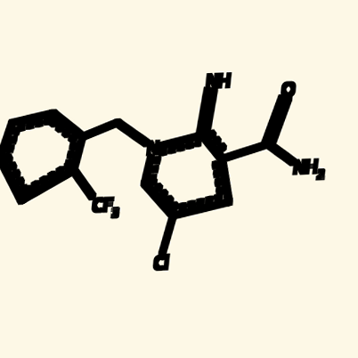 N=c1c(C(N)=O)cc(Cl)cn1Cc1ccccc1C(F)(F)F